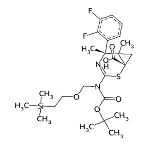 CC(C)(C)OC(=O)N(COCC[Si](C)(C)C)C1=N[C@](C)(c2cccc(F)c2F)C2(C)C[C@]2(C(=O)O)S1